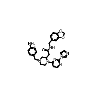 Nc1ccc(CN2CCN(c3ccnc(-n4ccnc4)n3)C(CC(=O)NCc3ccc4c(c3)OCO4)C2)cc1